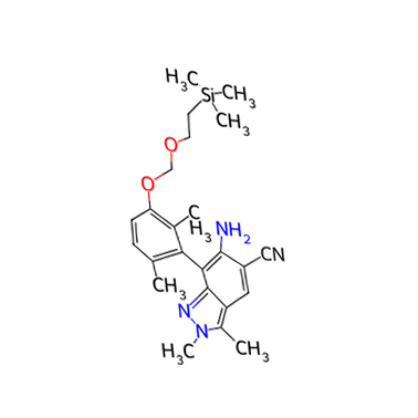 Cc1ccc(OCOCC[Si](C)(C)C)c(C)c1-c1c(N)c(C#N)cc2c(C)n(C)nc12